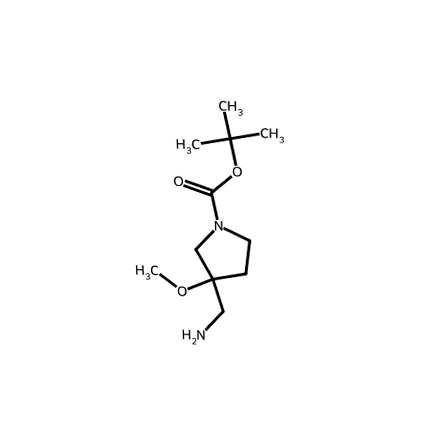 COC1(CN)CCN(C(=O)OC(C)(C)C)C1